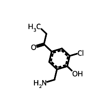 CCC(=O)c1cc(Cl)c(O)c(CN)c1